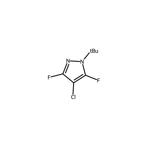 CC(C)(C)n1nc(F)c(Cl)c1F